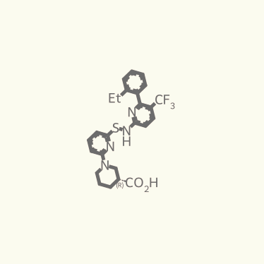 CCc1ccccc1-c1nc(NSc2cccc(N3CCC[C@@H](C(=O)O)C3)n2)ccc1C(F)(F)F